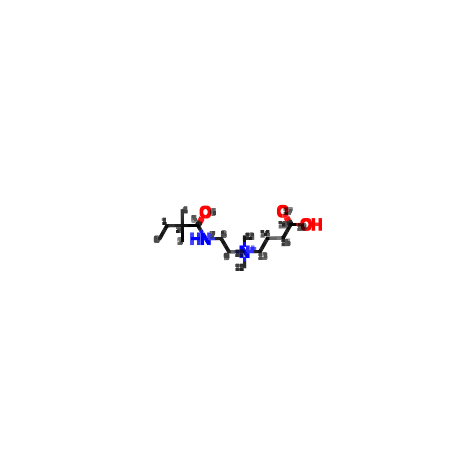 CCC(C)(C)C(=O)NCC[N+](C)(C)CCCC(=O)O